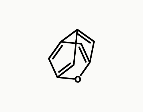 C1=C2C=C3C=C(C=C13)O2